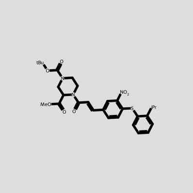 COC(=O)C1CN(C(=O)OC(C)(C)C)CCN1C(=O)C=Cc1ccc(Sc2ccccc2C(C)C)c([N+](=O)[O-])c1